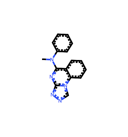 CN(c1ccccc1)c1nc2nncn2c2ccccc12